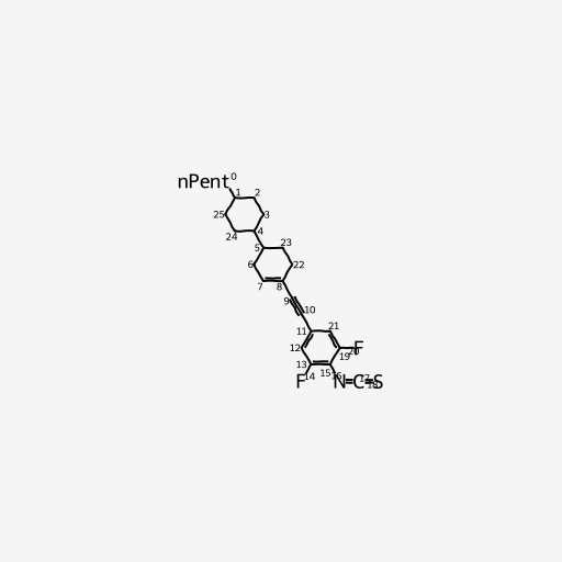 CCCCCC1CCC(C2CC=C(C#Cc3cc(F)c(N=C=S)c(F)c3)CC2)CC1